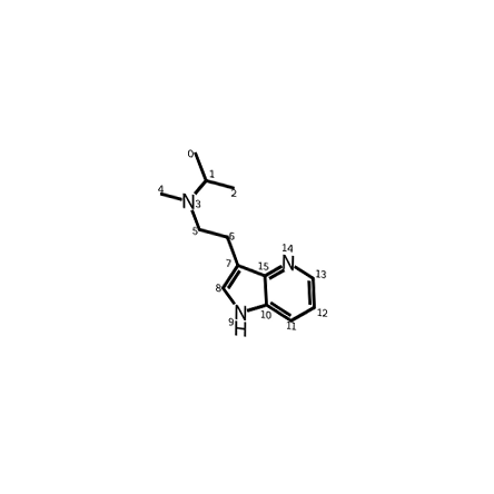 CC(C)N(C)CCc1c[nH]c2cccnc12